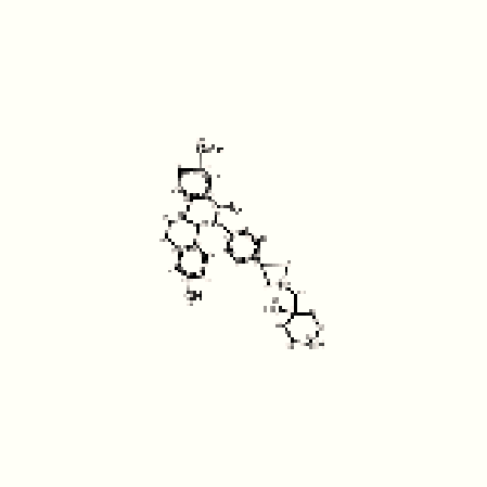 CCN(Cc1ccc(C2CN(CC3(O)CCNCC3)C2)cc1)c1cc(OC)ccc1C1CCc2cc(O)ccc2C1